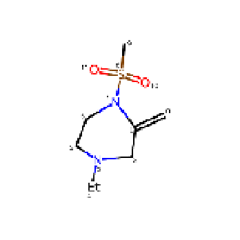 C=C1CN(CC)CCN1S(C)(=O)=O